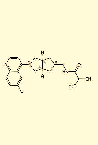 CC(C)C(=O)NC[C@@H]1C[C@@H]2C[C@H](c3ccnc4ccc(F)cc34)C[C@@H]2C1